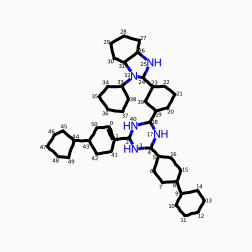 C1=C(C2NC(C3CCC(C4CCCCC4)CC3)NC(C3CCCC(C4NC5CCCCC5N4C4CCCCC4)C3)N2)CCC(C2CCCCC2)C1